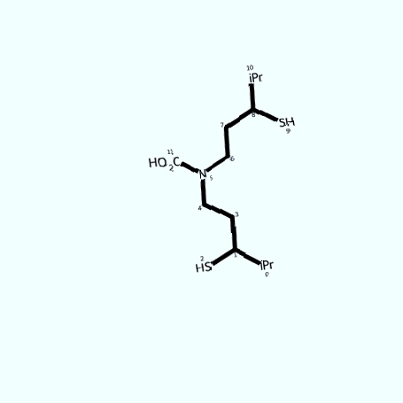 CC(C)C(S)CCN(CCC(S)C(C)C)C(=O)O